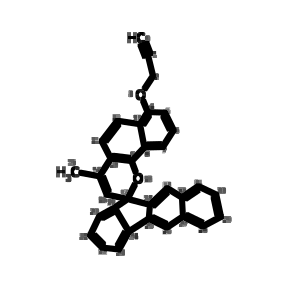 C#CCOc1cccc2c3c(ccc12)C(C)=CC1(O3)c2ccccc2-c2cc3ccccc3cc21